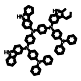 C/C=C\c1c(C)[nH]c2ccc(N(c3ccc(N(c4ccccc4)c4ccccc4)cc3)c3ccc(N(c4ccc(N(c5ccc(N(c6ccccc6)c6ccccc6)cc5)c5ccc6[nH]c7ccccc7c6c5)cc4)c4ccc5[nH]c6ccccc6c5c4)cc3)cc12